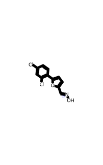 O/N=C/c1ccc(-c2ccc(Cl)cc2Cl)o1